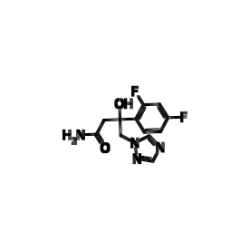 NC(=O)CC(O)(Cn1cncn1)c1ccc(F)cc1F